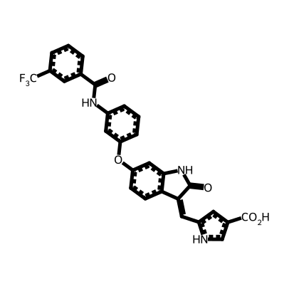 O=C1Nc2cc(Oc3cccc(NC(=O)c4cccc(C(F)(F)F)c4)c3)ccc2/C1=C/c1cc(C(=O)O)c[nH]1